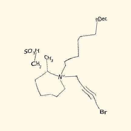 CCCCCCCCCCCCCC[N+]1(CC#CBr)CCCCC1C.CS(=O)(=O)O